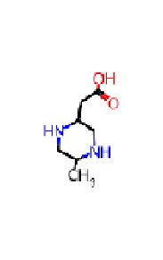 CC1CNC(CC(=O)O)CN1